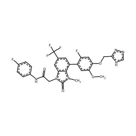 COc1cc(-c2cc(C(F)(F)F)cc3c2n(C)c(=O)n3CC(=O)Nc2ccc(F)cc2)c(F)cc1OCc1nnc[nH]1